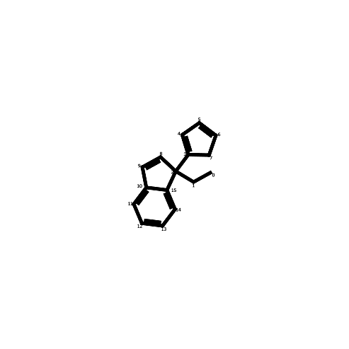 CCC1(C2=CC=CC2)C=Cc2ccccc21